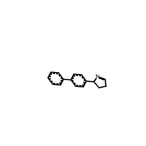 C1=NC(c2ccc(-c3ccccc3)cc2)CC1